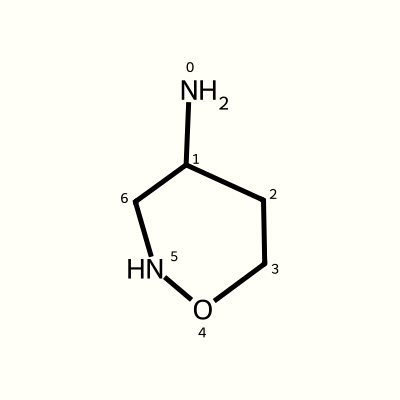 NC1CCONC1